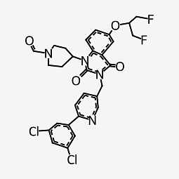 O=CN1CCC(n2c(=O)n(Cc3ccc(-c4cc(Cl)cc(Cl)c4)nc3)c(=O)c3cc(OC(CF)CF)ccc32)CC1